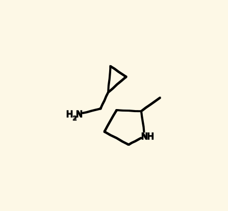 CC1CCCN1.NCC1CC1